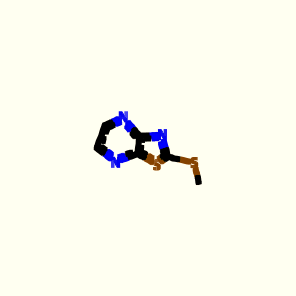 CSc1nc2nccnc2s1